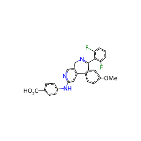 COc1ccc2c(c1)C(c1c(F)cccc1F)=NCc1cnc(Nc3ccc(C(=O)O)cc3)cc1-2